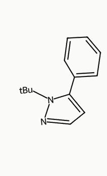 CC(C)(C)n1nccc1-c1ccccc1